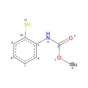 CC(C)(C)OC(=O)Nc1ccccc1S